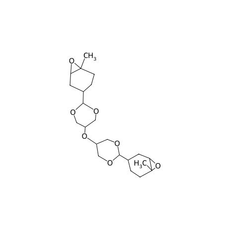 CC12CCC(C3OCC(OC4COC(C5CCC6(C)OC6C5)OC4)CO3)CC1O2